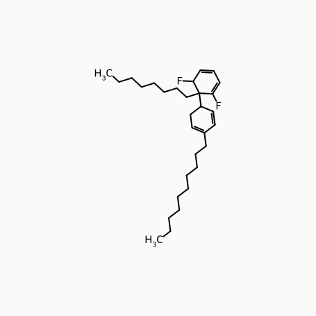 CCCCCCCCCCC1=CCC(C2(CCCCCCCC)C(F)=CC=CC2F)C=C1